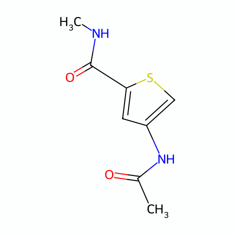 CNC(=O)c1cc(NC(C)=O)cs1